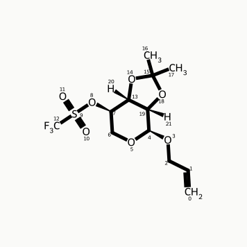 C=CCO[C@H]1OC[C@@H](OS(=O)(=O)C(F)(F)F)[C@@H]2OC(C)(C)O[C@H]12